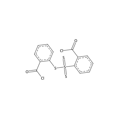 O=C(Cl)c1ccccc1SS(=S)(=S)c1ccccc1C(=O)Cl